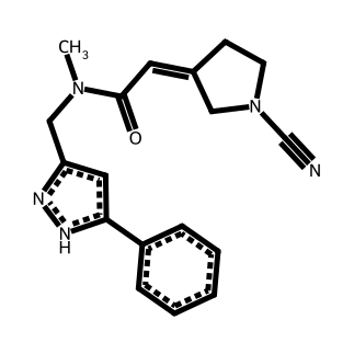 CN(Cc1cc(-c2ccccc2)[nH]n1)C(=O)C=C1CCN(C#N)C1